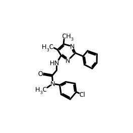 Cc1nc(-c2ccccc2)nc(NCC(=O)N(C)c2ccc(Cl)cc2)c1C